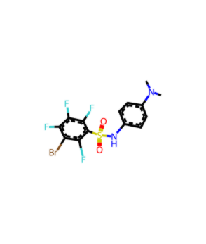 CN(C)c1ccc(NS(=O)(=O)c2c(F)c(F)c(F)c(Br)c2F)cc1